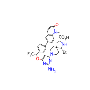 CCC1NC(C(=O)O)CC12CCN(c1cc(O[C@H](c3ccc(-c4ccc5c(ccc(=O)n5C)c4)cc3)C(F)(F)F)nc(N)n1)CC2